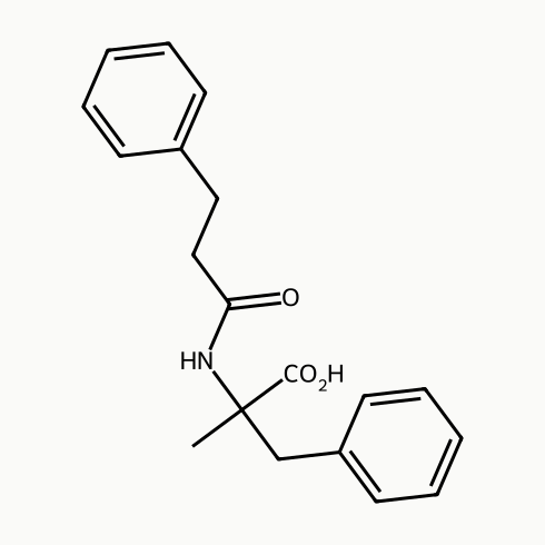 CC(Cc1ccccc1)(NC(=O)CCc1ccccc1)C(=O)O